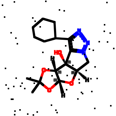 CC1(C)O[C@H]2O[C@@H]3Cn4nnc(C5CCCCC5)c4[C@]3(O)[C@H]2O1